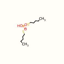 CCCCCSOP(O)OSCCCCC